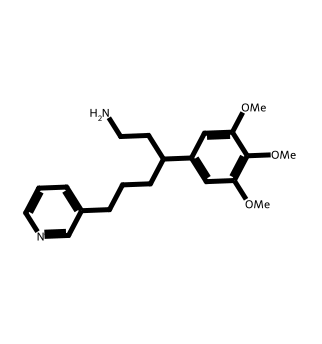 COc1cc(C(CCN)CCCc2cccnc2)cc(OC)c1OC